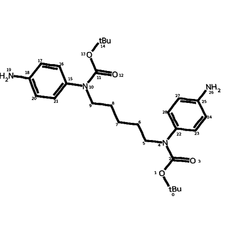 CC(C)(C)OC(=O)N(CCCCCN(C(=O)OC(C)(C)C)c1ccc(N)cc1)c1ccc(N)cc1